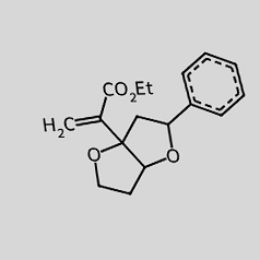 C=C(C(=O)OCC)C12CC(c3ccccc3)OC1CCO2